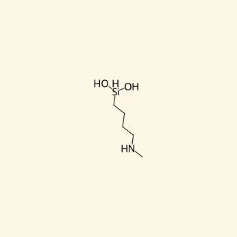 CNCCCC[SiH](O)O